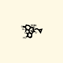 CC(=O)N[C@@]12CCC(=O)[C@@H]3Oc4c(O)ccc5c4[C@@]31CC[N+]([O-])(CC1CC1)[C@@H]2C5